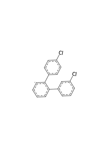 Clc1ccc(-c2[c]cccc2-c2cccc(Cl)c2)cc1